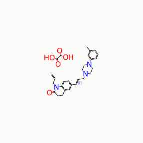 C=CCN1C(=O)CCc2cc(/C=C/CN3CCN(c4cccc(C)c4)CC3)ccc21.O=C(O)C(=O)O